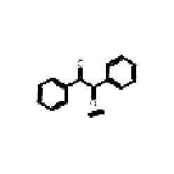 C=C.O=C(C(=O)c1ccccc1)c1ccccc1